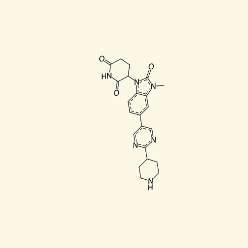 Cn1c(=O)n(C2CCC(=O)NC2=O)c2ccc(-c3cnc(C4CCNCC4)nc3)cc21